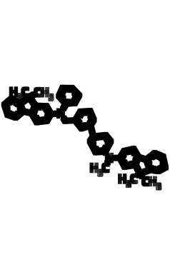 CN(c1ccc(-c2cccc(CN(c3ccccc3)c3ccc4c(c3)C(C)(C)c3ccccc3-4)c2)cc1)c1ccc2c(c1)C(C)(C)c1ccccc1-2